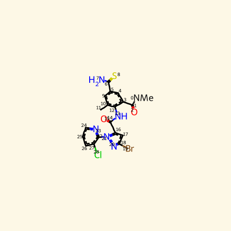 CNC(=O)c1cc(C(N)=S)cc(C)c1NC(=O)c1cc(Br)nn1-c1ncccc1Cl